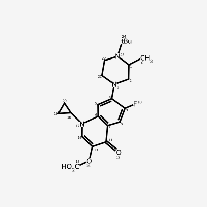 CC1CN(c2cc3c(cc2F)c(=O)c(OC(=O)O)cn3C2CC2)CCN1C(C)(C)C